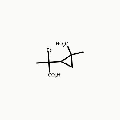 CCC(C)(C(=O)O)C1CC1(C)C(=O)O